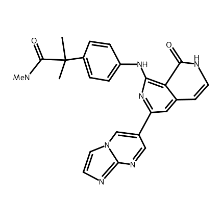 CNC(=O)C(C)(C)c1ccc(Nc2nc(-c3cnc4nccn4c3)cc3cc[nH]c(=O)c23)cc1